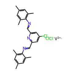 Cc1cc(C)c(N=Cc2cc(Cl)cc(C=Nc3c(C)cc(C)cc3C)n2)c(C)c1.[Cl-].[Cl-].[V+2]